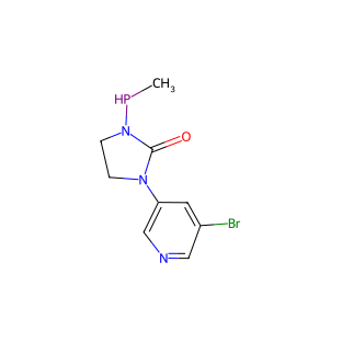 CPN1CCN(c2cncc(Br)c2)C1=O